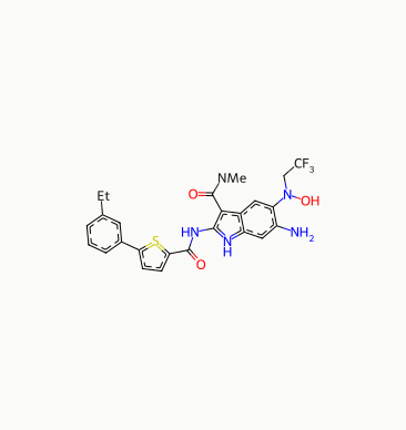 CCc1cccc(-c2ccc(C(=O)Nc3[nH]c4cc(N)c(N(O)CC(F)(F)F)cc4c3C(=O)NC)s2)c1